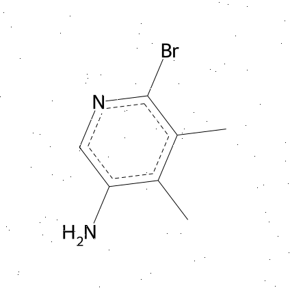 Cc1c(N)cnc(Br)c1C